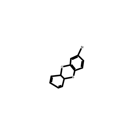 Brc1ccc2c(c1)OC1C=CC=CC1S2